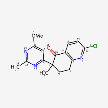 COc1cc(C2(C)CCc3nc(Cl)ccc3C2=O)nc(C)n1